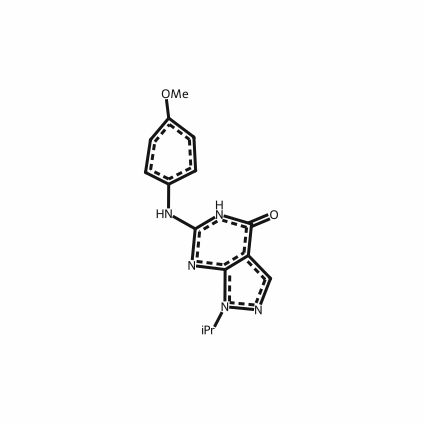 COc1ccc(Nc2nc3c(cnn3C(C)C)c(=O)[nH]2)cc1